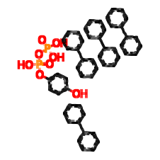 O=P(O)(O)OP(=O)(O)Oc1ccc(O)cc1.c1ccc(-c2ccccc2)cc1.c1ccc(-c2ccccc2)cc1.c1ccc(-c2ccccc2)cc1.c1ccc(-c2ccccc2)cc1